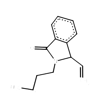 C=CC1c2ccccc2C(=O)N1CCCC